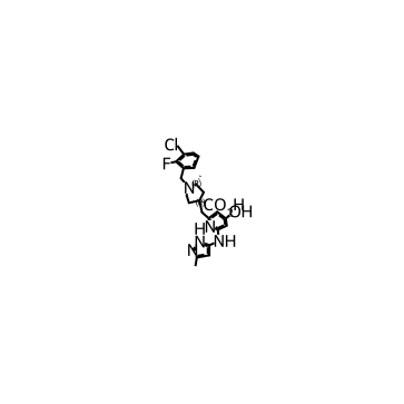 Cc1cc(Nc2cc(O)cc(C[C@@]3(C(=O)O)CCN(Cc4cccc(Cl)c4F)[C@H](C)C3)n2)[nH]n1